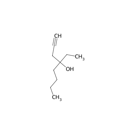 C#CCC(O)(CC)CCCC